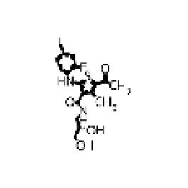 CC(=O)c1sc(Nc2ccc(I)cc2F)c(C(=O)NC[C@H](O)CO)c1C